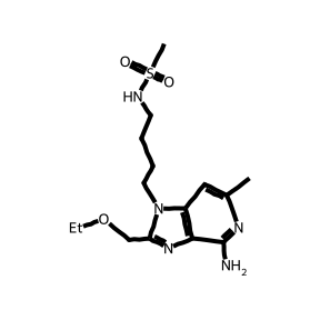 CCOCc1nc2c(N)nc(C)cc2n1CCCCNS(C)(=O)=O